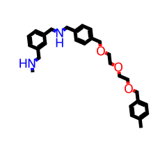 CNCc1cccc(CNCc2ccc(COCCOCCOCc3ccc(C)cc3)cc2)c1